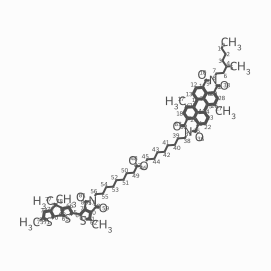 CCCCC(C)CCN1C(=O)c2ccc3c4c(C)cc5c6c(ccc(c7c(C)cc(c2c37)C1=O)c64)C(=O)N(CCCCCCCCOC(=O)CCCCCCCCN1C(=O)c2c(C)sc(-c3cc4c(s3)-c3sc(C)cc3C4(C)C)c2C1=O)C5=O